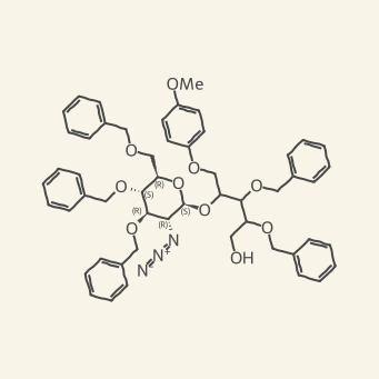 COc1ccc(OCC(O[C@@H]2O[C@H](COCc3ccccc3)[C@@H](OCc3ccccc3)[C@H](OCc3ccccc3)[C@H]2N=[N+]=[N-])C(OCc2ccccc2)C(CO)OCc2ccccc2)cc1